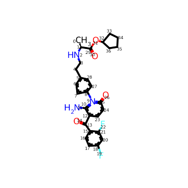 C[C@H](NCCc1ccc(-n2c(N)c(C(=O)c3ccc(F)cc3F)ccc2=O)cc1)C(=O)OC1CCCC1